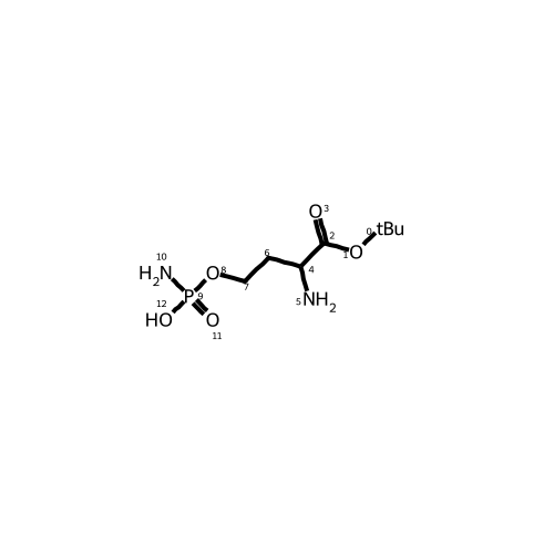 CC(C)(C)OC(=O)C(N)CCOP(N)(=O)O